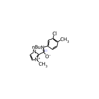 CCCCn1cc[n+](C)c1/C([O-])=N/c1ccc(C)c(Cl)c1